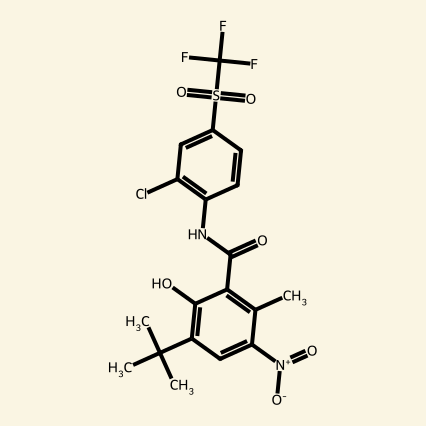 Cc1c([N+](=O)[O-])cc(C(C)(C)C)c(O)c1C(=O)Nc1ccc(S(=O)(=O)C(F)(F)F)cc1Cl